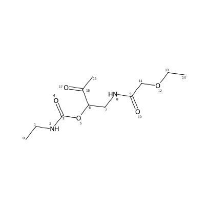 CCNC(=O)OC(CNC(=O)COCC)C(C)=O